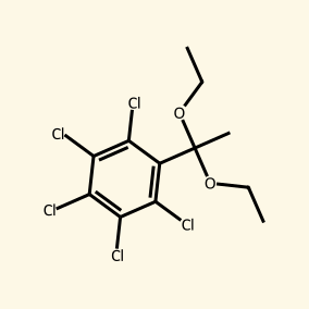 CCOC(C)(OCC)c1c(Cl)c(Cl)c(Cl)c(Cl)c1Cl